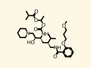 COCCCOc1ccccc1C(=O)NC[C@@H](C[C@H](NC(=O)OC(C)OC(=O)C(C)C)[C@@H](O)CN1CCCCC1)C(C)C